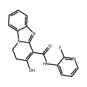 O=C(Nc1cccnc1F)C1=C(O)CCn2c1nc1ccccc12